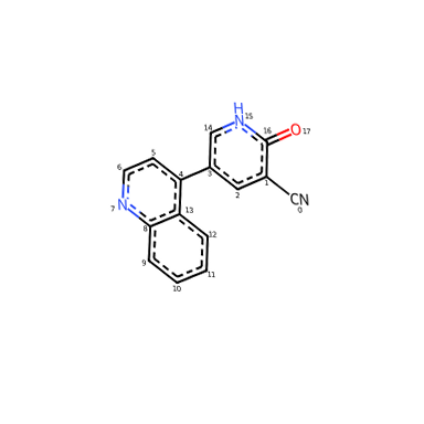 N#Cc1cc(-c2ccnc3ccccc23)c[nH]c1=O